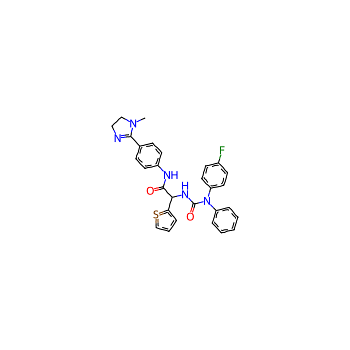 CN1CCN=C1c1ccc(NC(=O)C(NC(=O)N(c2ccccc2)c2ccc(F)cc2)c2cccs2)cc1